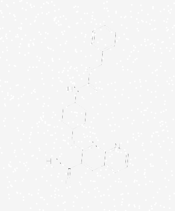 NC(=O)c1cc2cccnc2nc1OC1CCC(NC(=O)OCc2ccccc2)CC1